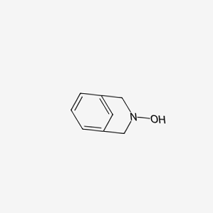 ON1Cc2cccc(c2)C1